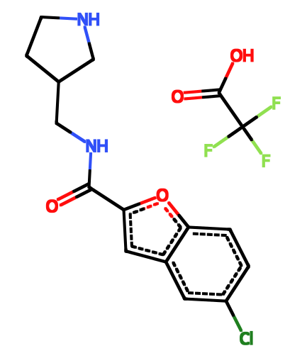 O=C(NCC1CCNC1)c1cc2cc(Cl)ccc2o1.O=C(O)C(F)(F)F